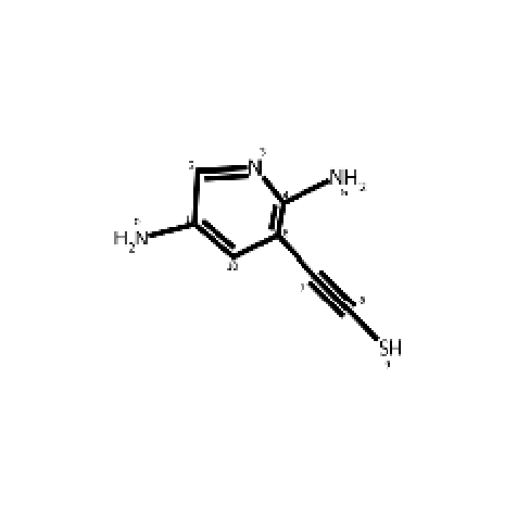 Nc1cnc(N)c(C#CS)c1